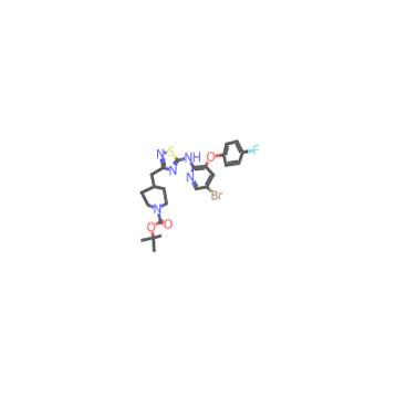 CC(C)(C)OC(=O)N1CCC(Cc2nsc(Nc3ncc(Br)cc3Oc3ccc(F)cc3)n2)CC1